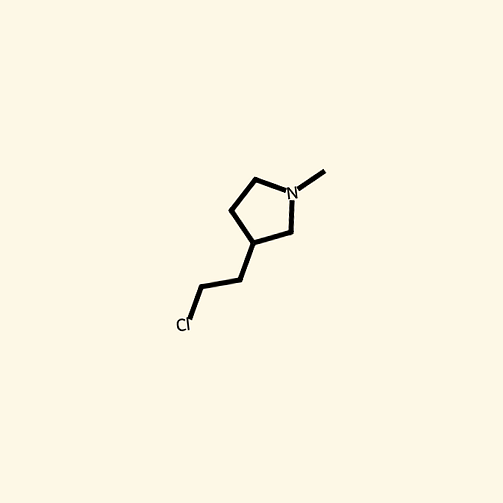 CN1CCC(CCCl)C1